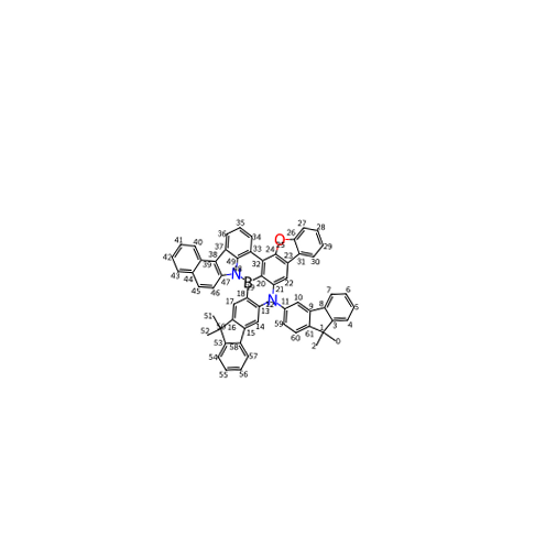 CC1(C)c2ccccc2-c2cc(N3c4cc5c(cc4B4c6c3cc3c(oc7ccccc73)c6-c3cccc6c7c8ccccc8ccc7n4c36)C(C)(C)c3ccccc3-5)ccc21